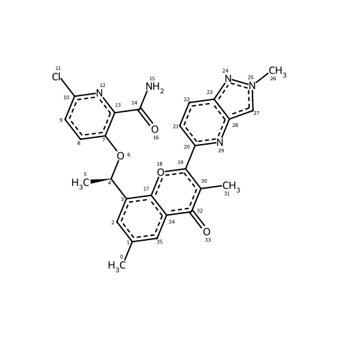 Cc1cc([C@@H](C)Oc2ccc(Cl)nc2C(N)=O)c2oc(-c3ccc4nn(C)cc4n3)c(C)c(=O)c2c1